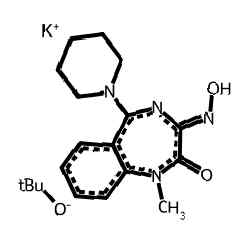 CC(C)(C)[O-].Cn1c(=O)c(=NO)nc(N2CCCCC2)c2ccccc21.[K+]